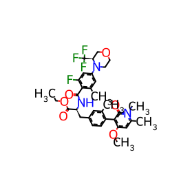 CCOC(=O)[C@H](Cc1ccc(-c2c(OC)cc(C)n(C)c2=O)c(C)c1)NC(=O)c1c(C)cc(N2CCOC[C@@H]2C(F)(F)F)cc1F